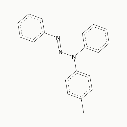 Cc1ccc(N(N=Nc2ccccc2)c2ccccc2)cc1